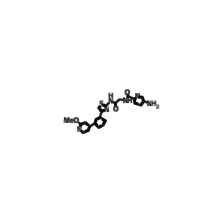 COc1cc(-c2cccc(-c3csc(NC(=O)CNC(=O)c4ccc(N)cn4)n3)c2)ccn1